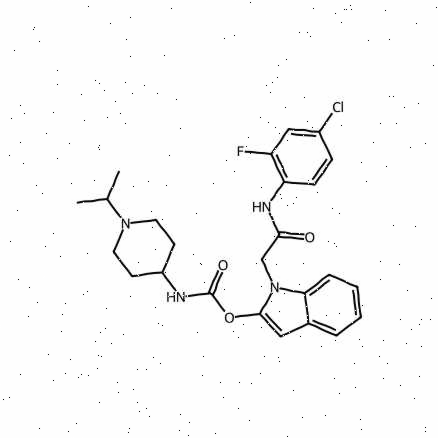 CC(C)N1CCC(NC(=O)Oc2cc3ccccc3n2CC(=O)Nc2ccc(Cl)cc2F)CC1